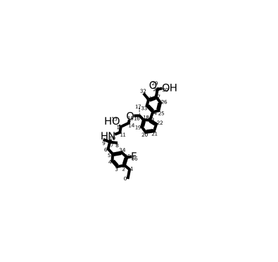 CCc1ccc(CC(C)(C)NC[C@@H](O)CO[C@H](C)c2ccccc2-c2ccc(C(=O)O)c(C)c2)cc1F